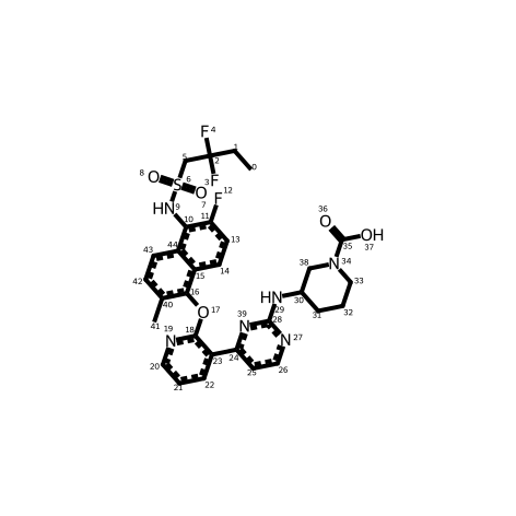 CCC(F)(F)CS(=O)(=O)Nc1c(F)ccc2c(Oc3ncccc3-c3ccnc(NC4CCCN(C(=O)O)C4)n3)c(C)ccc12